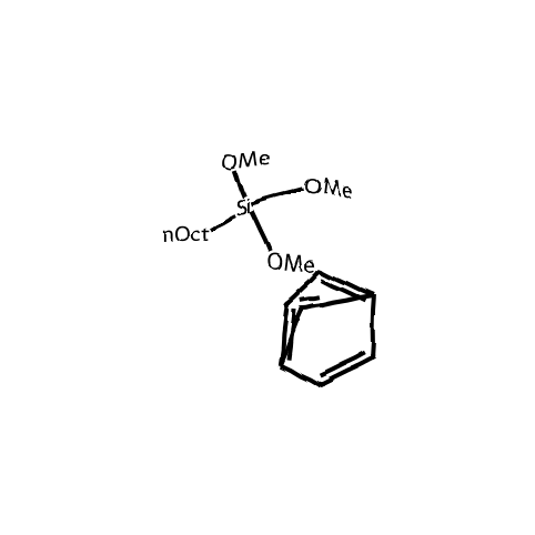 CCCCCCCC[Si](OC)(OC)OC.c1cc2ccc1cc2